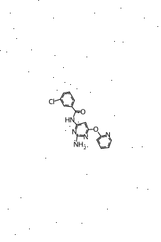 Nc1nc(NC(=O)c2cccc(Cl)c2)cc(Oc2ccccn2)n1